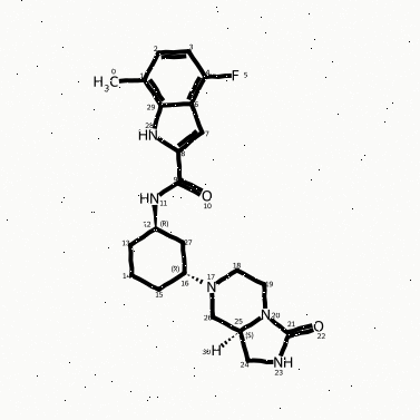 Cc1ccc(F)c2cc(C(=O)N[C@@H]3CCC[C@@H](N4CCN5C(=O)NC[C@H]5C4)C3)[nH]c12